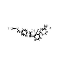 C#CCOc1cnc(C(=O)Nc2cccc([C@]3(C)CCSC(N)=N3)c2)cn1